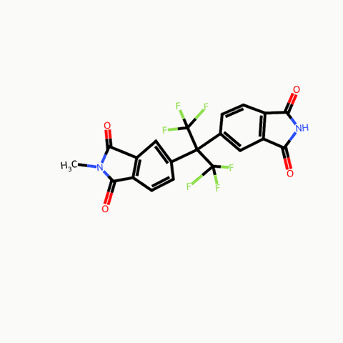 CN1C(=O)c2ccc(C(c3ccc4c(c3)C(=O)NC4=O)(C(F)(F)F)C(F)(F)F)cc2C1=O